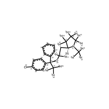 [2H]C([2H])(C[C@]1([2H])N(C([2H])([2H])[2H])C([2H])([2H])C([2H])([2H])C1([2H])[2H])O[C@](c1ccccc1)(c1ccc(Cl)cc1)C([2H])([2H])[2H]